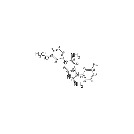 COc1cccc(N2C=C3N=C(N)N(c4cccc(F)c4)N3C=C2N)c1